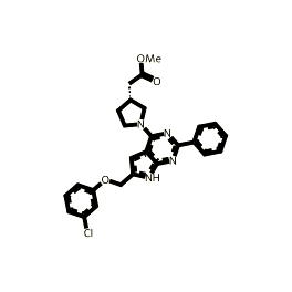 COC(=O)C[C@H]1CCN(c2nc(-c3ccccc3)nc3[nH]c(COc4cccc(Cl)c4)cc23)C1